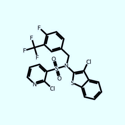 O=S(=O)(c1cccnc1Cl)N(Cc1ccc(F)c(C(F)(F)F)c1)c1sc2ccccc2c1Cl